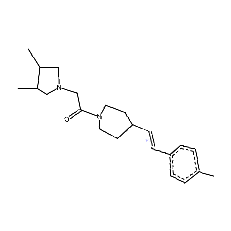 Cc1ccc(/C=C/C2CCN(C(=O)CN3CC(C)C(C)C3)CC2)cc1